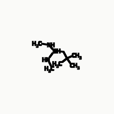 CN[SiH](CC(C)(C)C)NC